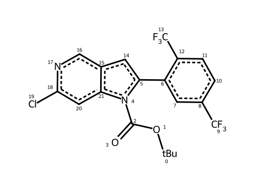 CC(C)(C)OC(=O)n1c(-c2cc(C(F)(F)F)ccc2C(F)(F)F)cc2cnc(Cl)cc21